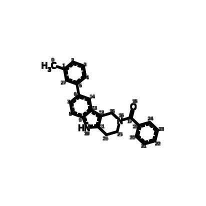 Cc1cccc(-c2ccc3[nH]c4c(c3c2)CN(C(=O)c2ccccc2)CC4)c1